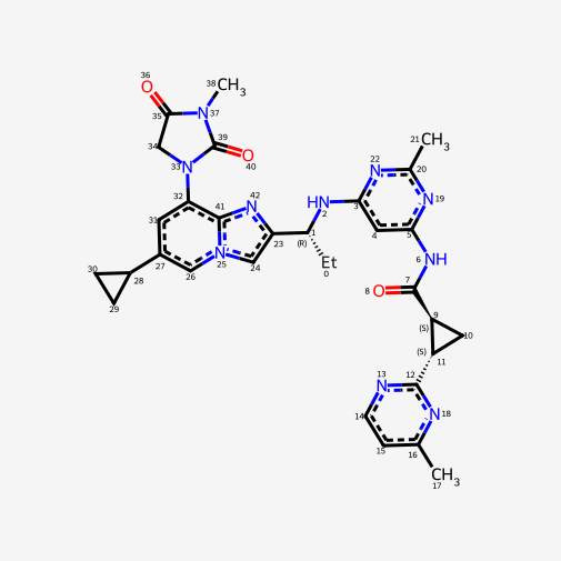 CC[C@@H](Nc1cc(NC(=O)[C@H]2C[C@@H]2c2nccc(C)n2)nc(C)n1)c1cn2cc(C3CC3)cc(N3CC(=O)N(C)C3=O)c2n1